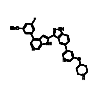 COc1cc(F)cc(-c2cncc3[nH]c(-c4n[nH]c5ccc(-c6cncc(OC7CCNCC7)c6)cc45)cc23)c1